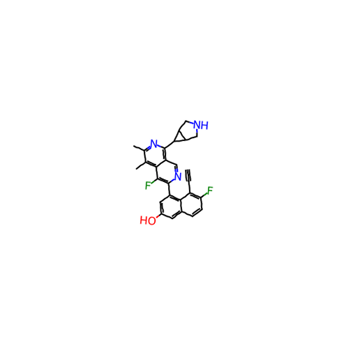 C#Cc1c(F)ccc2cc(O)cc(-c3ncc4c(C5C6CNCC65)nc(C)c(C)c4c3F)c12